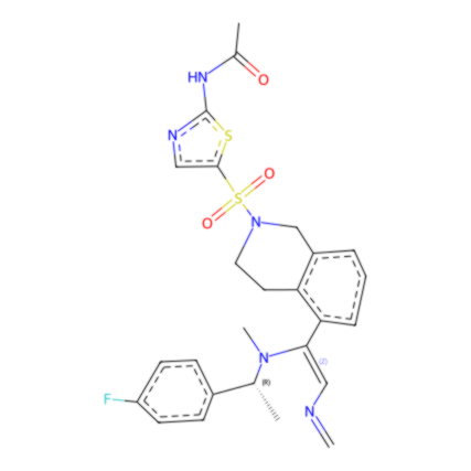 C=N/C=C(/c1cccc2c1CCN(S(=O)(=O)c1cnc(NC(C)=O)s1)C2)N(C)[C@H](C)c1ccc(F)cc1